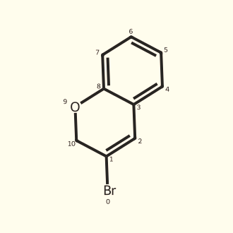 BrC1=Cc2ccccc2OC1